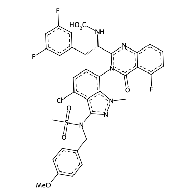 COc1ccc(CN(c2nn(C)c3c(-n4c([C@H](Cc5cc(F)cc(F)c5)NC(=O)O)nc5cccc(F)c5c4=O)ccc(Cl)c23)S(C)(=O)=O)cc1